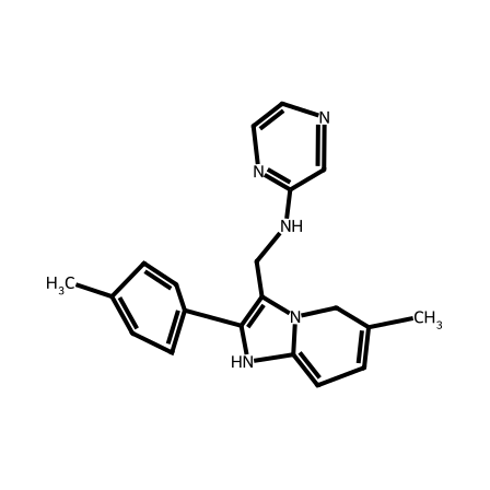 CC1=CC=C2NC(c3ccc(C)cc3)=C(CNc3cnccn3)N2C1